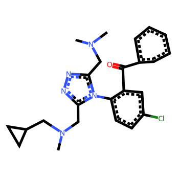 CN(C)Cc1nnc(CN(C)CC2CC2)n1-c1ccc(Cl)cc1C(=O)c1ccccc1